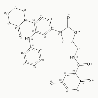 O=C(NCC1CN(c2ccc(N3CCOCC3=O)c(Nc3ccccc3)c2)C(=O)O1)C1=CC(Cl)=CCC1=S